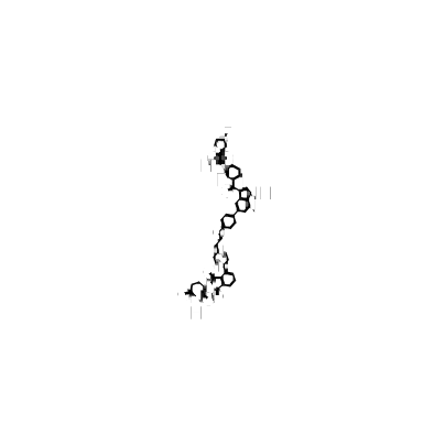 O=C1CCC(N2C(=O)c3cccc(N4CCN(CCOc5ccc(-c6cnc7[nH]cc(C(=O)c8c(F)ccc(NS(=O)(=O)N9CC[C@@H](F)C9)c8F)c7c6)cc5)CC4)c3C2=O)C(=O)N1